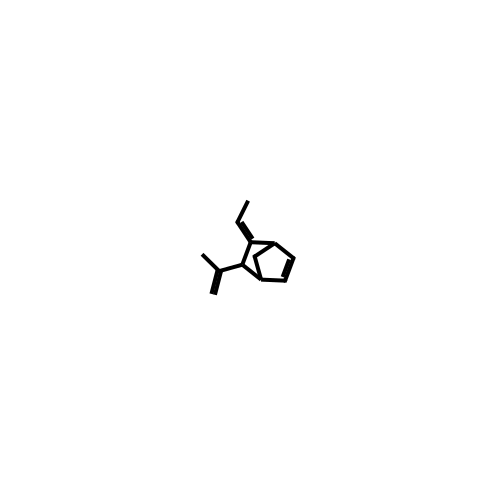 C=C(C)C1C(=CC)C2C=CC1C2